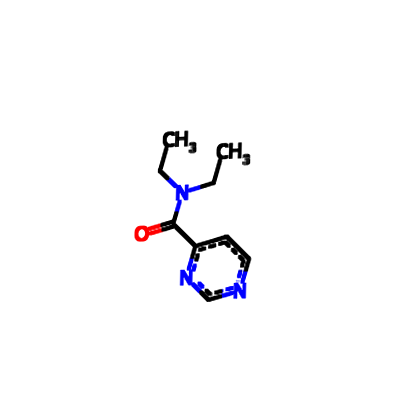 CCN(CC)C(=O)c1ccncn1